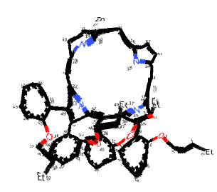 CCC=COc1ccccc1C1=CC2=CC3=NC(=CC4=NC(=CC5=NC(=C(c6ccccc6OC=CCC)C1=N2)C(c1ccccc1OC=CCC)=C5c1ccccc1OC=CCC)C=C4)C=C3.[Zn]